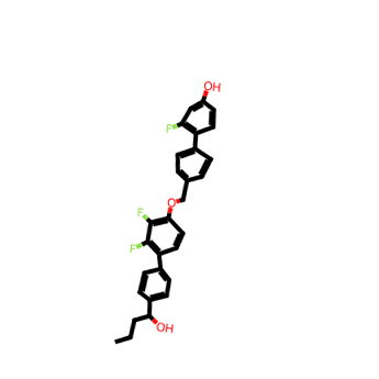 CCCC(O)c1ccc(-c2ccc(OCc3ccc(-c4ccc(O)cc4F)cc3)c(F)c2F)cc1